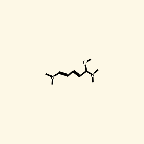 COC(/C=C/C=C/N(C)C)N(C)C